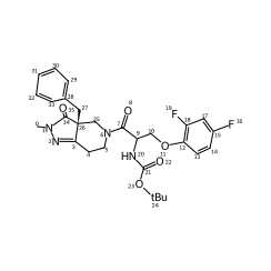 CN1N=C2CCN(C(=O)C(COc3ccc(F)cc3F)NC(=O)OC(C)(C)C)C[C@@]2(Cc2ccccc2)C1=O